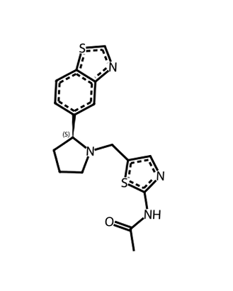 CC(=O)Nc1ncc(CN2CCC[C@H]2c2ccc3scnc3c2)s1